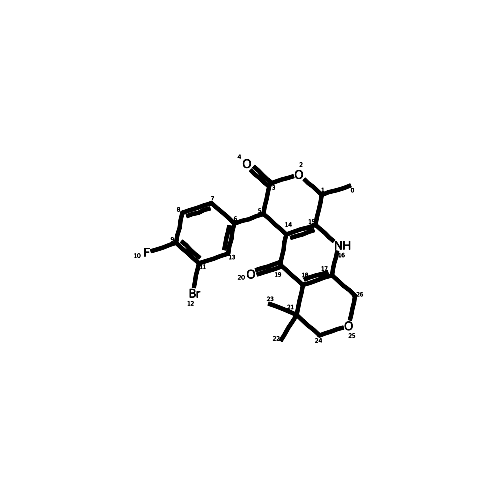 CC1OC(=O)C(c2ccc(F)c(Br)c2)c2c1[nH]c1c(c2=O)C(C)(C)COC1